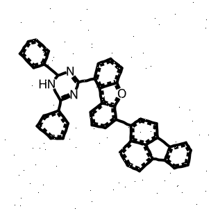 c1ccc(C2=NC(c3cccc4oc5c(-c6ccc7c8c(cccc68)-c6ccccc6-7)cccc5c34)=NC(c3ccccc3)N2)cc1